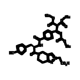 CC(C)(C)OC(=O)N=C(c1ccc(C(=O)N[C@@H](Cc2ccc(C#N)cc2)C(=O)N2CCc3nn(CC(=O)O)cc3C2)cc1)N(C(=O)OC(C)(C)C)C(=O)OC(C)(C)C